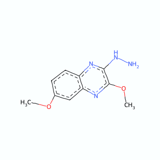 COc1ccc2nc(NN)c(OC)nc2c1